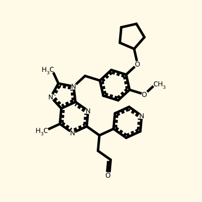 COc1ccc(Cn2c(C)nc3c(C)nc(C(CC=O)c4ccncc4)nc32)cc1OC1CCCC1